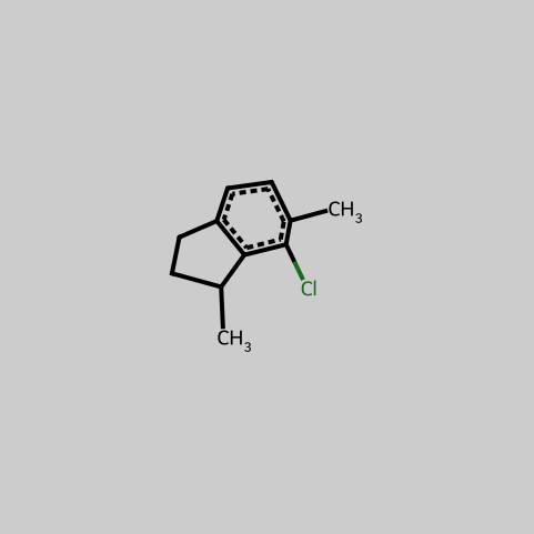 Cc1ccc2c(c1Cl)C(C)CC2